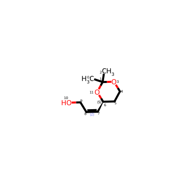 CC1(C)OCC[C@@H](/C=C\CO)O1